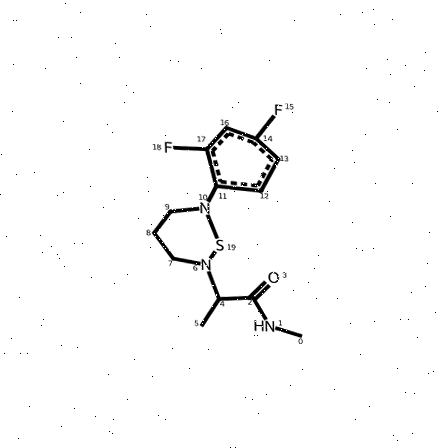 CNC(=O)C(C)N1CCCN(c2ccc(F)cc2F)S1